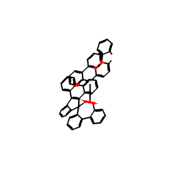 c1ccc(-c2ccccc2N(c2ccc3c(c2)C2(c4ccccc4-c4ccccc4-3)c3ccccc3-c3c2c2ccccc2c2ccccc32)c2ccc3oc4ccccc4c3c2)cc1